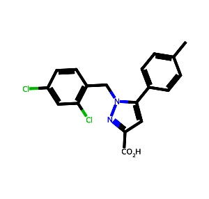 Cc1ccc(-c2cc(C(=O)O)nn2Cc2ccc(Cl)cc2Cl)cc1